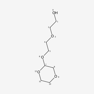 OCCOCCOC1COCCO1